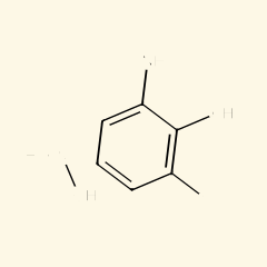 Cc1cccc(N)c1C.O=S(=O)(O)O